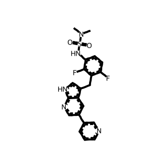 CN(C)S(=O)(=O)Nc1ccc(F)c(Cc2c[nH]c3ncc(-c4cccnc4)cc23)c1F